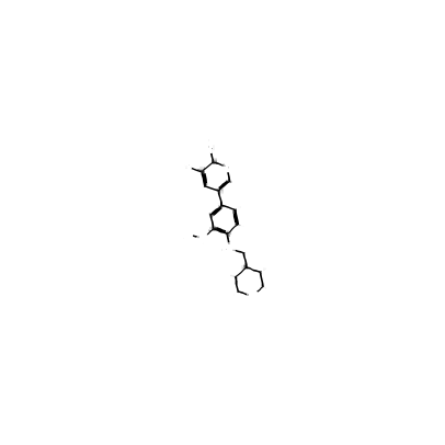 COc1cc(C2=CNC(N)C(Br)=C2)ccc1OCC1CCOCC1